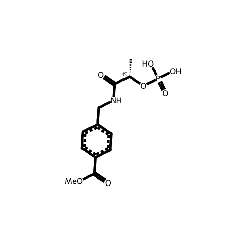 COC(=O)c1ccc(CNC(=O)[C@H](C)OP(=O)(O)O)cc1